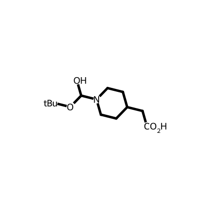 CC(C)(C)OC(O)N1CCC(CC(=O)O)CC1